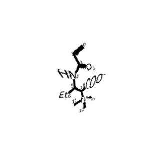 C=CC(=O)NC(CC)C(C(=O)[O-])[N+](C)(C)C